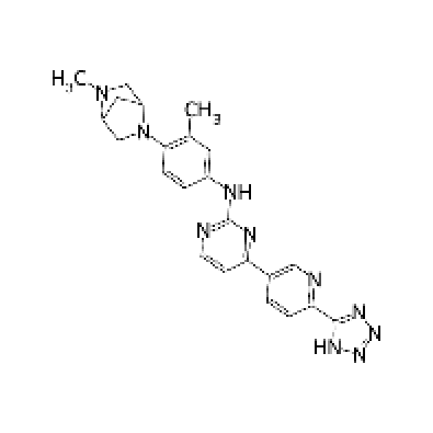 Cc1cc(Nc2nccc(-c3ccc(-c4nnn[nH]4)nc3)n2)ccc1N1CC2CC1CN2C